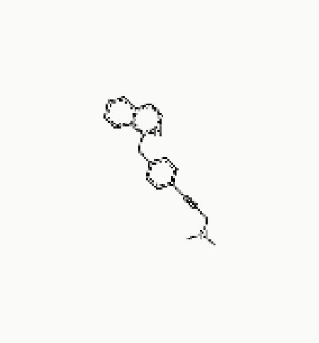 CN(C)CC#Cc1ccc(Cc2nccc3ccccc23)cc1